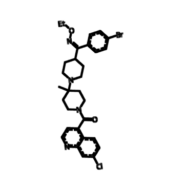 CCON=C(c1ccc(Br)cc1)C1CCN(C2(C)CCN(C(=O)c3ccnc4cc(Cl)ccc34)CC2)CC1